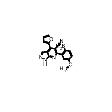 Bc1ccc(OC)cc1-c1nc2[nH]ncc2c(-c2ccco2)c1C#N